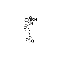 COC(C)C(=O)OCCCCC(CC(=O)Nc1ccc(C)cc1S(=O)(=O)O)C(C)=O